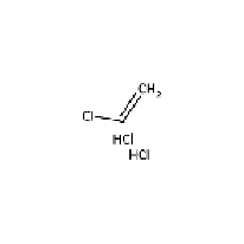 C=CCl.Cl.Cl